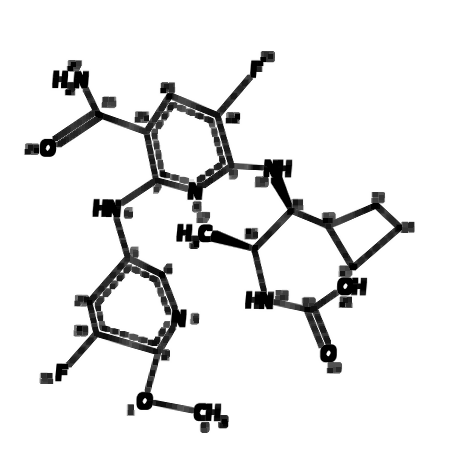 COc1ncc(Nc2nc(N[C@@H](C3CCC3)[C@H](C)NC(=O)O)c(F)cc2C(N)=O)cc1F